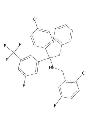 Fc1cc(C(F)(F)F)cc(C(Cc2ccccc2)(NCc2cc(F)ccc2Cl)c2ccc(Cl)cn2)c1